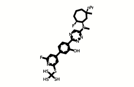 CCC[C@]1(C)CCC[C@H](F)[C@H](N(C)c2cnc(-c3ccc(-c4cc(F)nc(SC(S)(S)S)c4)cc3O)nn2)C1